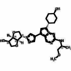 COC[C@H](C)Nc1ncc2c(-c3cnn([C@H]4CO[C@H]5[C@@H]4OC[C@H]5O)c3)cc([C@H]3CC[C@H](O)CC3)n2n1